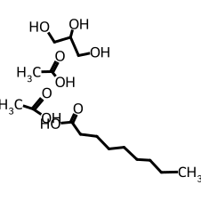 CC(=O)O.CC(=O)O.CCCCCCCCC(=O)O.OCC(O)CO